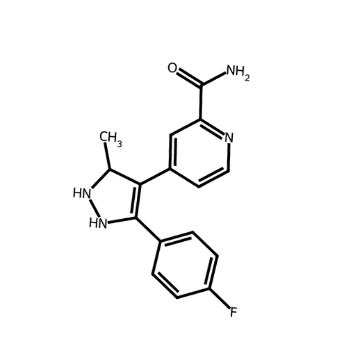 CC1NNC(c2ccc(F)cc2)=C1c1ccnc(C(N)=O)c1